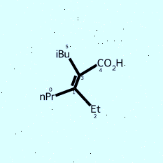 CCCC(CC)=C(C(=O)O)C(C)CC